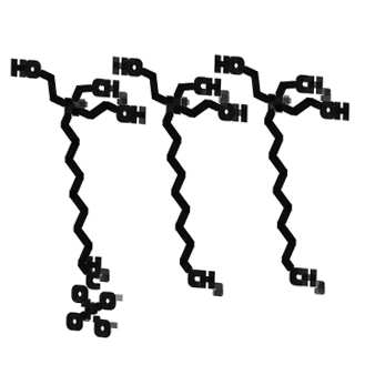 CCCCCCCCCC[N+](CC)(CCO)CCO.CCCCCCCCCC[N+](CC)(CCO)CCO.CCCCCCCCCC[N+](CC)(CCO)CCO.O=P([O-])([O-])[O-]